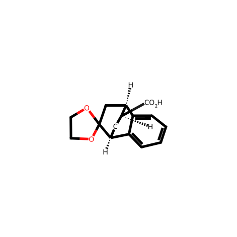 O=C(O)[C@H]1C[C@H]2c3ccccc3[C@@H]1CC21OCCO1